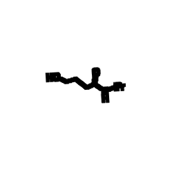 CC(C)NC(=O)CCCO